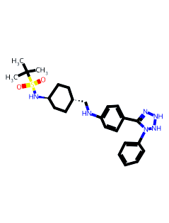 CC(C)(C)S(=O)(=O)N[C@H]1CC[C@H](CNc2ccc(C3=NNNN3c3ccccc3)cc2)CC1